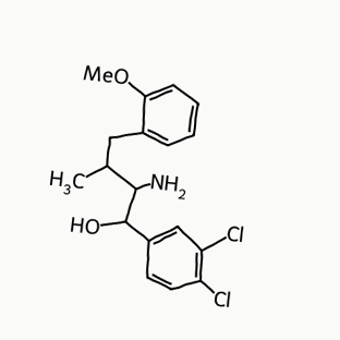 COc1ccccc1CC(C)C(N)C(O)c1ccc(Cl)c(Cl)c1